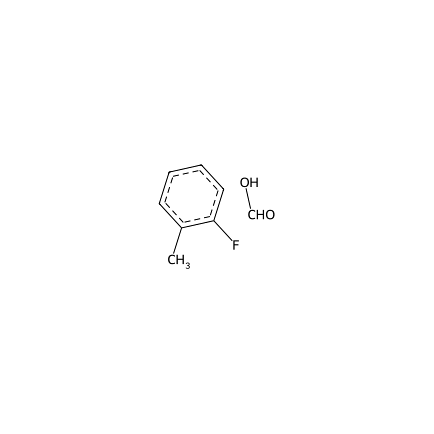 Cc1ccccc1F.O=CO